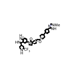 CN/C=N\C(=N)c1ccc(C2=CCN(C(=O)CN3CC[C@]4(CCN(c5ccc(N)c(C(=N)C6CCNC(C(F)(F)F)C6)c5)C4=O)C3)CC2)cc1